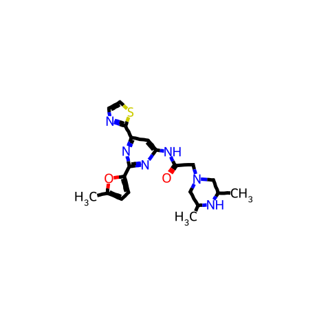 Cc1ccc(-c2nc(NC(=O)CN3CC(C)NC(C)C3)cc(-c3nccs3)n2)o1